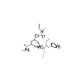 CCCC(O)C(CC)CO.CCN(C)C(=O)Oc1cccc([C@H](C)N(C)C)c1